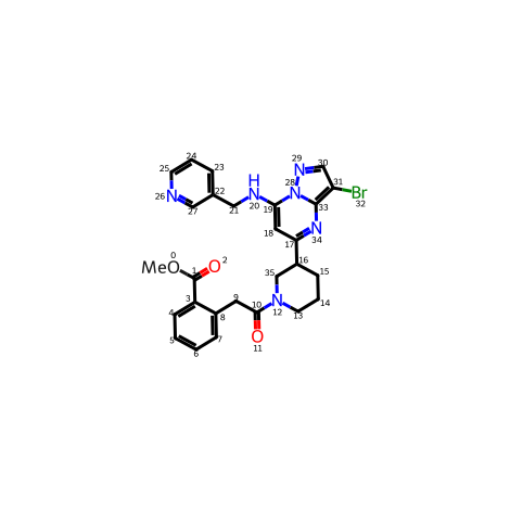 COC(=O)c1ccccc1CC(=O)N1CCCC(c2cc(NCc3cccnc3)n3ncc(Br)c3n2)C1